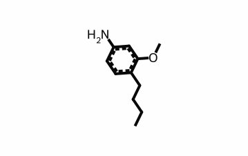 CCCCc1ccc(N)cc1OC